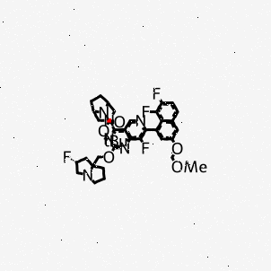 COCOc1cc(-c2ncc3c(N4CC5CCC(C4)N5C(=O)OC(C)(C)C)nc(OCC45CCCN4C[C@H](F)C5)nc3c2F)c2c(F)c(F)ccc2c1